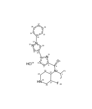 CC(C)N(C(=O)c1csc(-c2cnn(-c3ccccc3)c2)n1)C1CCNCC1F.Cl